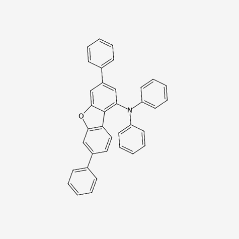 c1ccc(-c2ccc3c(c2)oc2cc(-c4ccccc4)cc(N(c4ccccc4)c4ccccc4)c23)cc1